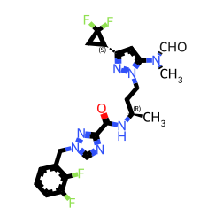 C[C@H](CCn1nc([C@@H]2CC2(F)F)cc1N(C)C=O)NC(=O)c1ncn(Cc2cccc(F)c2F)n1